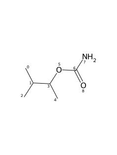 CC(C)C(C)OC(N)=O